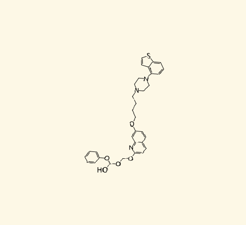 OC(OCOc1ccc2ccc(OCCCCN3CCN(c4cccc5sccc45)CC3)cc2n1)Oc1ccccc1